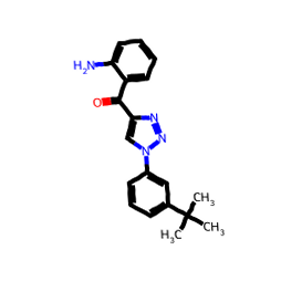 CC(C)(C)c1cccc(-n2cc(C(=O)c3ccccc3N)nn2)c1